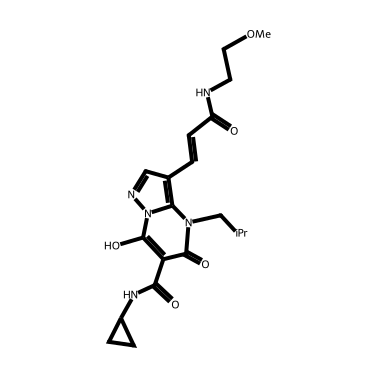 COCCNC(=O)/C=C/c1cnn2c(O)c(C(=O)NC3CC3)c(=O)n(CC(C)C)c12